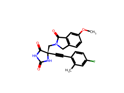 COc1ccc2c(c1)C(=O)N(C[C@@]1(C#Cc3ccc(F)cc3C)NC(=O)NC1=O)C2